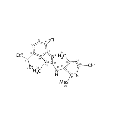 CCC(CC)c1ccc(Cl)c2nc(Nc3c(C)cc(Cl)cc3SC)n(C)c12